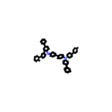 CC1C=CC(c2ccc(N(c3ccc(-c4ccccc4)cc3)c3ccc(-c4ccc(-n5c6ccc(-c7ccccc7)cc6c6cc(C7C=CC=CC7C)ccc65)cc4)cc3)cc2)=CC1